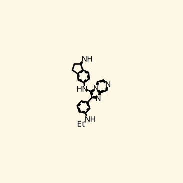 CCNc1cccc(-c2nc3cnccn3c2Nc2ccc3c(c2)CCC3=N)c1